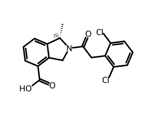 C[C@H]1c2cccc(C(=O)O)c2CN1C(=O)Cc1c(Cl)cccc1Cl